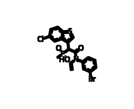 C=CN(C(=O)C(c1csc2ccc(Cl)cc12)P(C)(=O)O)c1cccc(Br)c1